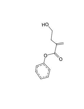 C=C(CCO)C(=O)Oc1ccccc1